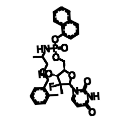 Cc1ccccc1COCC(C)NP(=O)(OC[C@H]1O[C@@H](n2ccc(=O)[nH]c2=O)[C@](C)(F)[C@@H]1O)Oc1cccc2ccccc12